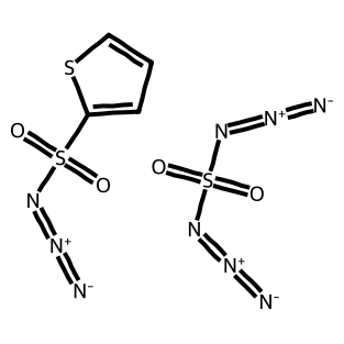 [N-]=[N+]=NS(=O)(=O)N=[N+]=[N-].[N-]=[N+]=NS(=O)(=O)c1cccs1